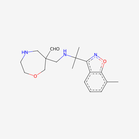 Cc1cccc2c(C(C)(C)NCC3(C=O)CNCCOC3)noc12